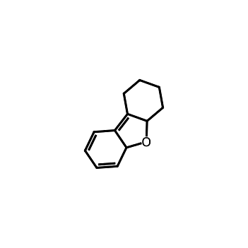 C1=CC2=C3CCCCC3OC2C=C1